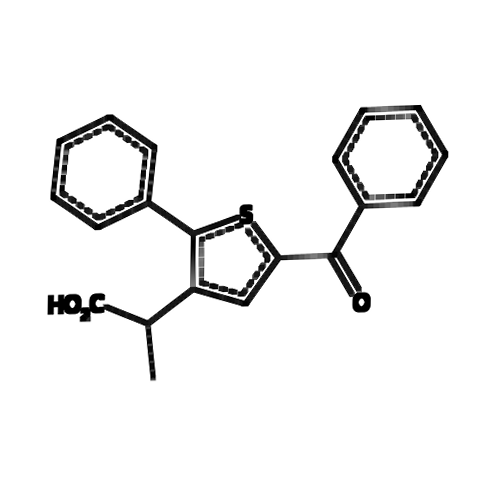 CC(C(=O)O)c1cc(C(=O)c2ccccc2)sc1-c1ccccc1